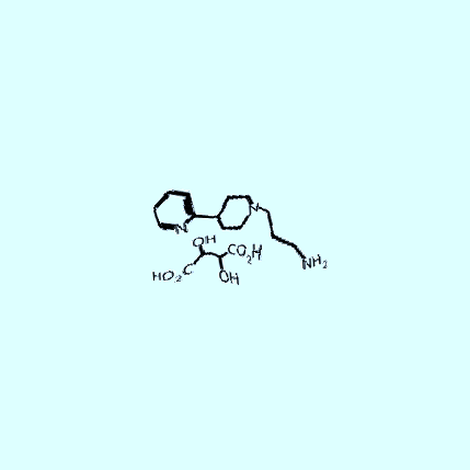 NCCCN1CCC(c2ccccn2)CC1.O=C(O)C(O)C(O)C(=O)O